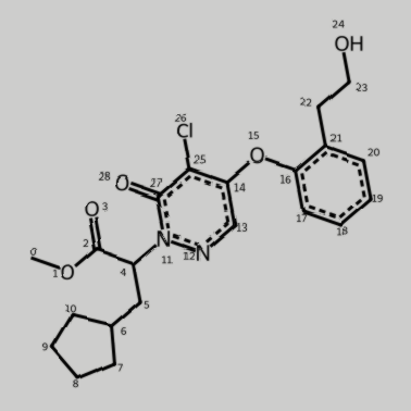 COC(=O)C(CC1CCCC1)n1ncc(Oc2ccccc2CCO)c(Cl)c1=O